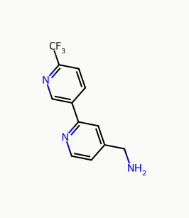 NCc1ccnc(-c2ccc(C(F)(F)F)nc2)c1